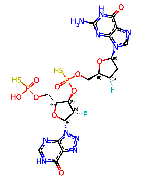 Nc1nc2c(ncn2[C@H]2C[C@H](F)[C@@H](COP(=O)(S)O[C@H]3[C@H](F)[C@H](n4nnc5c(=O)[nH]cnc54)O[C@@H]3COP(=O)(O)S)O2)c(=O)[nH]1